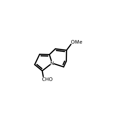 COc1ccn2c(C=O)ccc2c1